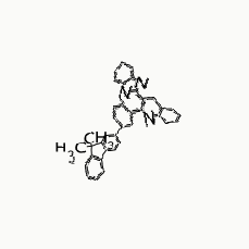 CC1(C)c2ccccc2-c2ccc(-c3ccc4c(c3)c3nc5ccccc5cc3c3nc5ccccc5n43)cc21